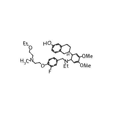 CCOCCN(C)CCOc1ccc(CN(CC)C2C=C(OC)C(OC)=CC2[C@@H]2CCc3cc(O)ccc3C2)cc1F